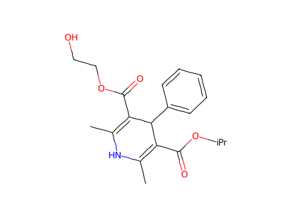 CC1=C(C(=O)OCCO)C(c2ccccc2)C(C(=O)OC(C)C)=C(C)N1